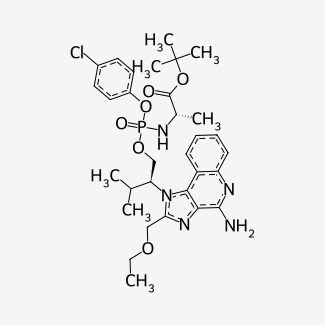 CCOCc1nc2c(N)nc3ccccc3c2n1[C@H](COP(=O)(N[C@@H](C)C(=O)OC(C)(C)C)Oc1ccc(Cl)cc1)C(C)C